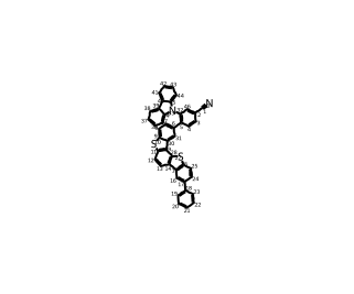 N#Cc1ccc(-c2ccc3sc4ccc5c6cc(-c7ccccc7)ccc6sc5c4c3c2)c(-n2c3ccccc3c3ccccc32)c1